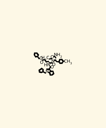 CCCN(C(=O)[C@H](CCCC(=O)OCc1ccccc1)NC(=O)c1cn(Cc2ccccc2)c2ccccc12)[C@H](CC(N)=O)Cc1ccc(C)cc1